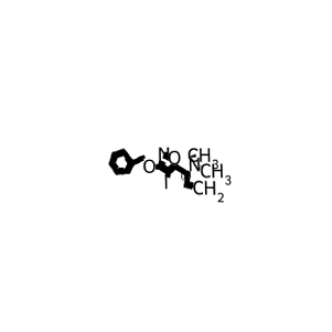 C=C[C@@H](c1onc(OCc2ccccc2)c1I)N(C)C